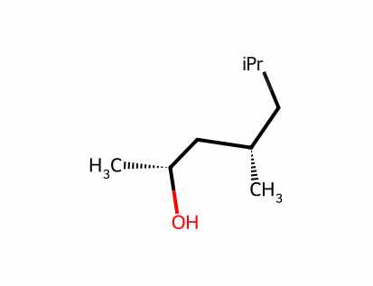 CC(C)C[C@H](C)C[C@@H](C)O